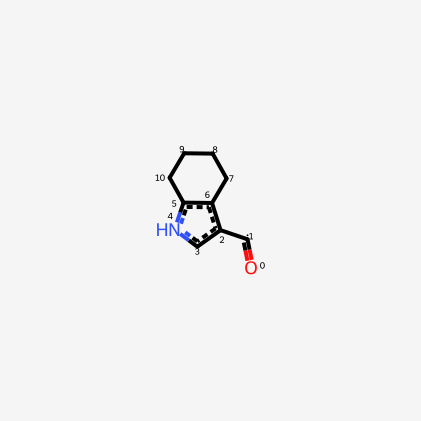 O=[C]c1c[nH]c2c1CCCC2